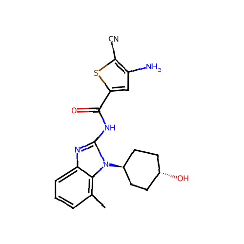 Cc1cccc2nc(NC(=O)c3cc(N)c(C#N)s3)n([C@H]3CC[C@H](O)CC3)c12